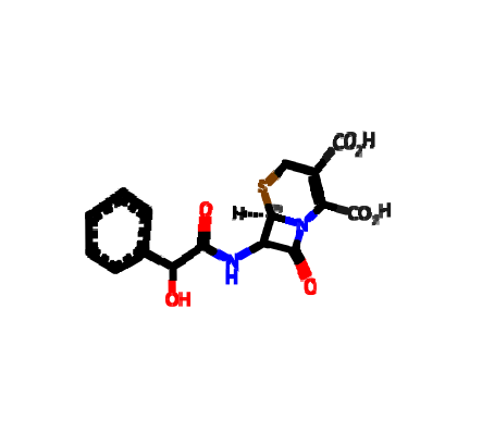 O=C(O)C1=C(C(=O)O)N2C(=O)C(NC(=O)C(O)c3ccccc3)[C@H]2SC1